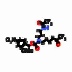 COc1cc([N+](=O)[O-])ccc1COC(=O)N(CCCCC(=O)C(F)(F)F)CCCNC(=O)C(F)(F)F